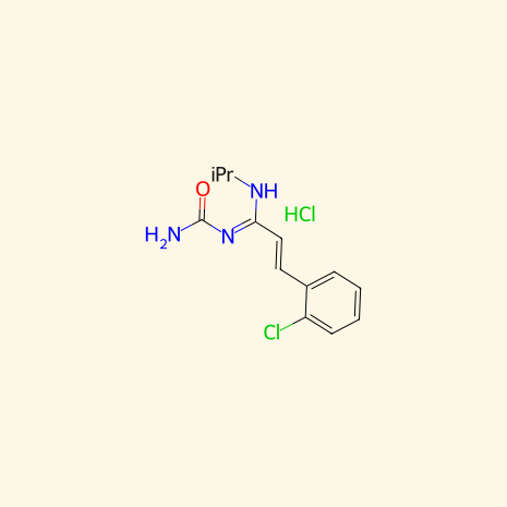 CC(C)NC(C=Cc1ccccc1Cl)=NC(N)=O.Cl